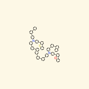 c1ccc(-c2cccc(-c3ccc(N(c4ccc(-c5cccc6c5sc5ccccc56)cc4)c4cccc(-c5cccc(-c6cccc7cc(-c8cccc(-c9cccc(-c%10ccc(N(c%11ccc(-c%12cccc%13c%12oc%12ccccc%12%13)cc%11)c%11cccc(-c%12cccc(-c%13cccc%14ccccc%13%14)c%12)c%11)cc%10)c9)c8)ccc67)c5)c4)cc3)c2)cc1